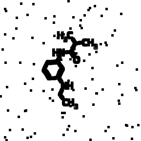 CCNc1cccc(NC(=O)C(C)C)c1